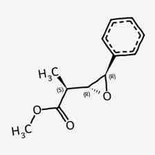 COC(=O)[C@@H](C)[C@H]1O[C@@H]1c1ccccc1